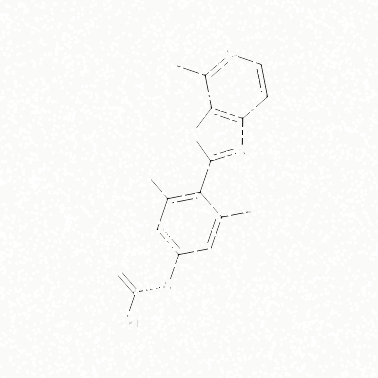 O=C(O)Nc1cc(F)c(-c2nc3ccnc(Cl)c3s2)c(Cl)c1